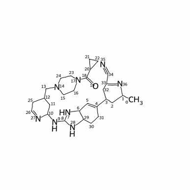 CC1CC(C2=CC3NC(NC4CC(CN5CCN(C(=O)C6CC6)CC5)CC=N4)NC3CC2)CC(C#N)=N1